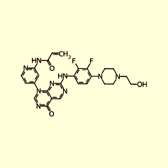 C=CC(=O)Nc1cc(-n2cnc(=O)c3cnc(Nc4ccc(N5CCN(CCO)CC5)c(F)c4F)nc32)ccn1